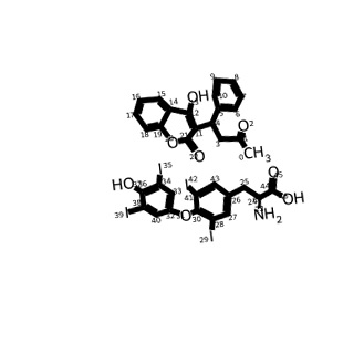 CC(=O)CC(c1ccccc1)c1c(O)c2ccccc2oc1=O.N[C@@H](Cc1cc(I)c(Oc2cc(I)c(O)c(I)c2)c(I)c1)C(=O)O